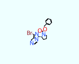 O=C(OCc1ccccc1)N1CCC[C@H]1c1nc(Br)c2cnccn12